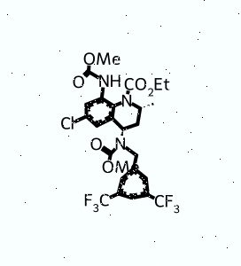 CCOC(=O)N1c2c(NC(=O)OC)cc(Cl)cc2[C@@H](N(Cc2cc(C(F)(F)F)cc(C(F)(F)F)c2)C(=O)OC)C[C@H]1C